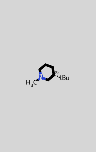 CN1CCC[C@H](C(C)(C)C)C1